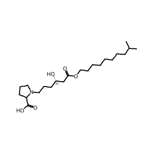 CC(C)CCCCCCCCOC(=O)C[C@@H](O)CCCN1CCCC1C(=O)O